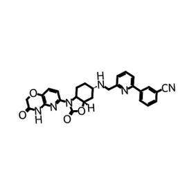 N#Cc1cccc(-c2cccc(CN[C@H]3CCC4[C@H](C3)OC(=O)N4c3ccc4c(n3)NC(=O)CO4)n2)c1